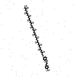 CN(C)c1ccc(C=Cc2nc3ccc(OCCC(=O)CCC(=O)CCC(=O)CCC(=O)CCC(=O)CCC(=O)CCC(=O)CCC(=O)CCC(=O)CCC(=O)CCC(=O)CCC(=O)CCC(=O)CC(F)(F)F)cc3o2)cc1